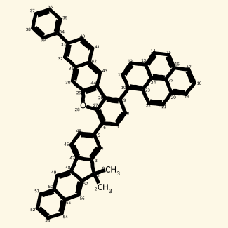 CC1(C)c2cc(-c3ccc(-c4ccc5ccc6cccc7ccc4c5c67)c4c3oc3cc5cc(-c6ccccc6)ccc5cc34)ccc2-c2cc3ccccc3cc21